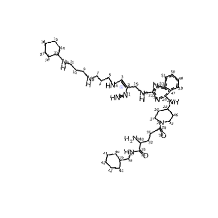 N=N/C(=C\NCCCNCCCNC1CCCCC1)CNc1nc(NC2CCN(C(=O)CCC(N)C(=O)NCC3CCCCC3)CC2)c2ccccc2n1